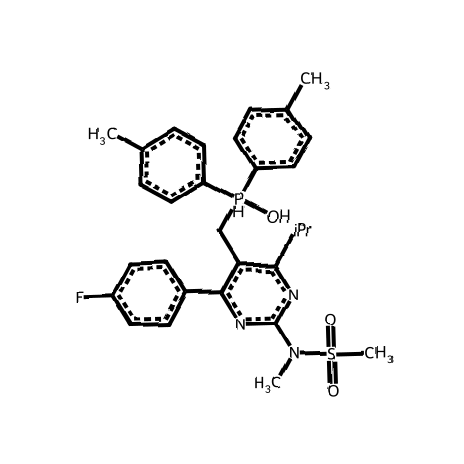 Cc1ccc([PH](O)(Cc2c(-c3ccc(F)cc3)nc(N(C)S(C)(=O)=O)nc2C(C)C)c2ccc(C)cc2)cc1